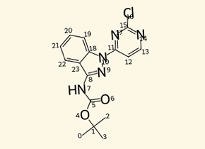 CC(C)(C)OC(=O)Nc1nn(-c2ccnc(Cl)n2)c2ccccc12